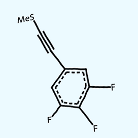 CSC#Cc1cc(F)c(F)c(F)c1